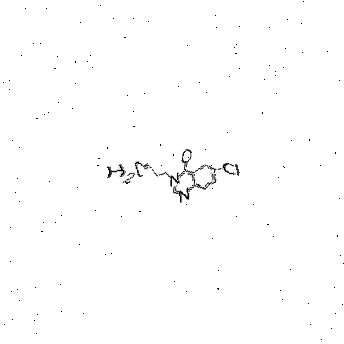 C=CCCn1cnc2ccc(Cl)cc2c1=O